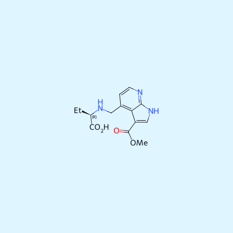 CC[C@@H](NCc1ccnc2[nH]cc(C(=O)OC)c12)C(=O)O